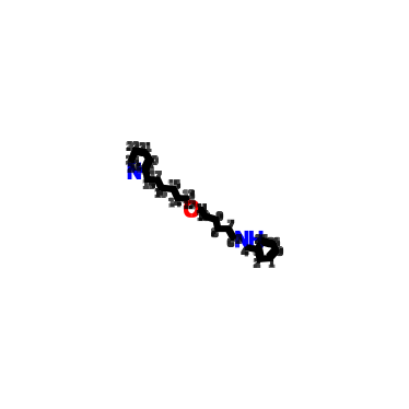 c1ccc(CNCCCCCCOCCCCCCc2ccccn2)cc1